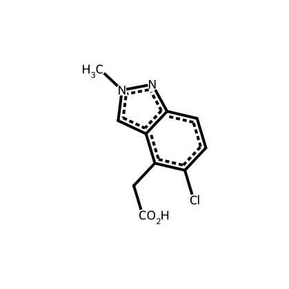 Cn1cc2c(CC(=O)O)c(Cl)ccc2n1